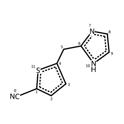 N#Cc1ccc(Cc2ncc[nH]2)s1